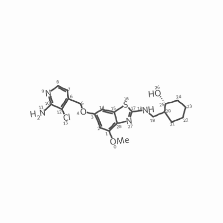 COc1cc(OCc2ccnc(N)c2Cl)cc2sc(NCC3CCCC[C@H]3O)nc12